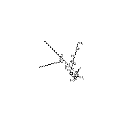 CCCCCCCCCCCCCCCC(=O)OCC(CSC[C@H](N)C(=O)N[C@@H](CCC(=O)NCCCNCCCCNCCCN)C(=O)Nc1ccc(Cn2c(O)nc3c(N)nc(NCCCC)nc32)cc1)OC(=O)CCCCCCCCCCCCCCC